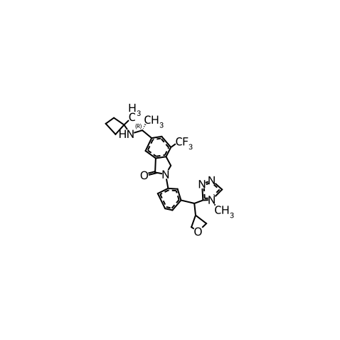 C[C@@H](NC1(C)CCC1)c1cc2c(c(C(F)(F)F)c1)CN(c1cccc(C(c3nncn3C)C3COC3)c1)C2=O